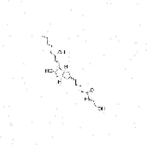 CCCCC[C@H](O)/C=C/[C@@H]1[C@H]2C/C(=C/CCCC(=O)NCCO)C[C@H]2C[C@H]1O